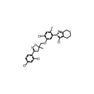 CC1(COc2cc(-n3nc4c(c3Cl)CCCC4)c(F)cc2Cl)CC(c2ccc(Cl)cc2Cl)=NO1